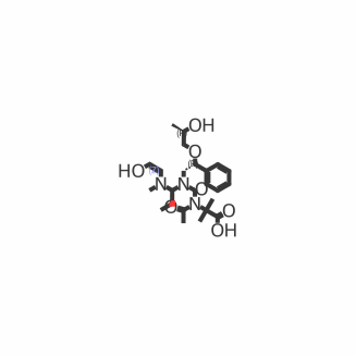 CCC(N(C)/C=C\O)N(C[C@H](OC[C@@H](C)O)c1ccccc1)C(=O)N(C(C)=O)C(C)(C)C(=O)O